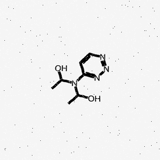 CC(O)N(c1ccnnn1)C(C)O